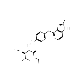 CCOC(=O)[C@@H](NS(=O)(=O)c1ccc(Cc2nccc3[nH]c(C)nc23)cc1)C(=C=O)C(C)C